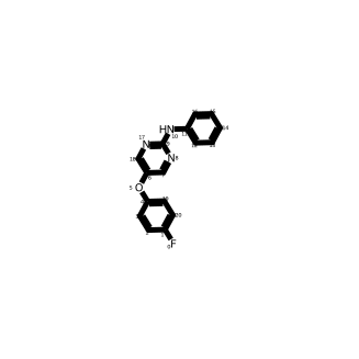 Fc1ccc(Oc2cnc(Nc3ccccc3)nc2)cc1